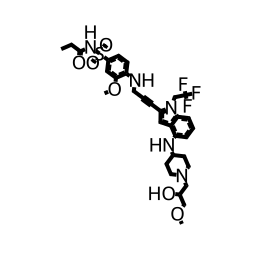 CCC(=O)NS(=O)(=O)c1ccc(NCC#Cc2cc3c(NC4CCN(CC(O)COC)CC4)cccc3n2CC(F)(F)F)c(OC)c1